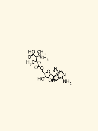 CC(OC(=O)OC[C@H]1O[C@@](C#N)(c2ccc3c(N)ncnn23)[C@H](O)[C@@H]1O)C(C(=O)O)N(C)C